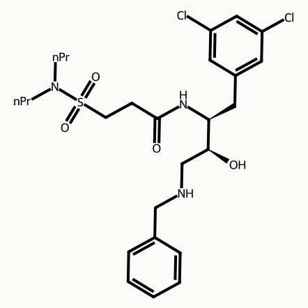 CCCN(CCC)S(=O)(=O)CCC(=O)N[C@@H](Cc1cc(Cl)cc(Cl)c1)[C@@H](O)CNCc1ccccc1